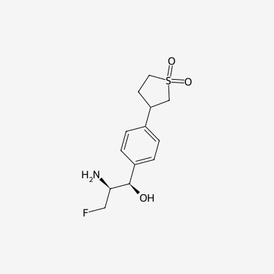 N[C@H](CF)[C@H](O)c1ccc(C2CCS(=O)(=O)C2)cc1